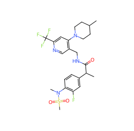 CC1CCN(c2cc(C(F)(F)F)ncc2CNC(=O)C(C)c2ccc(N(C)S(C)(=O)=O)c(F)c2)CC1